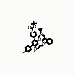 COCCCn1cc(CN(C(=O)[C@H]2CN(C(=O)OC(C)(C)C)CC[C@@H]2c2cccc(-c3ccc(F)cc3)c2)C2CC2)c2ccccc21